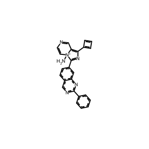 N[N+]12C=CN=CC1=C(C1=CC=C1)N=C2c1ccc2cnc(-c3ccccc3)nc2c1